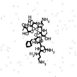 C[C@@H](O)[C@H](NC(=O)[C@H](CO)NC(=O)[C@H](CCN)NC(=O)[C@@H](NC(=O)[C@@H](Cc1ccccc1)NC(=O)[C@H](CCN)NC(=O)[C@@H](N)CCN)[C@@H](C)O)C(=O)O